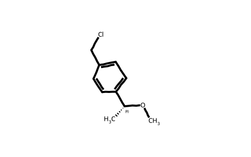 CO[C@H](C)c1ccc(CCl)cc1